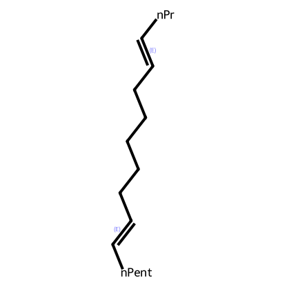 [CH2]CCCC/C=C/CCCCC/C=C/CCC